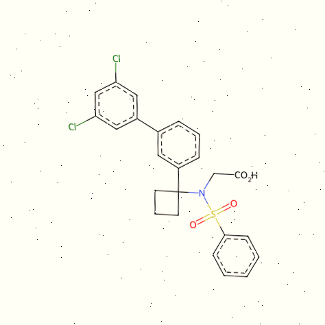 O=C(O)CN(C1(c2cccc(-c3cc(Cl)cc(Cl)c3)c2)CCC1)S(=O)(=O)c1ccccc1